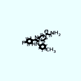 Cc1ccc(Nc2c(-c3ccc(F)cc3)nc3n2CCN(C(=O)CN)C3)cc1